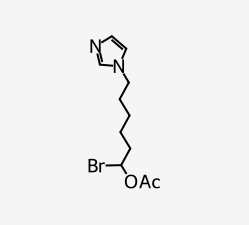 CC(=O)OC(Br)CCCCCn1ccnc1